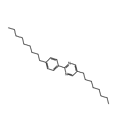 CCCCCCCCCc1ccc(-c2ncc(CCCCCCCC)cn2)cc1